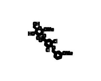 COc1cccc(COc2c(Cl)cc(C(=O)O[C@H]3[C@H](OC)O[C@H](CO)[C@@H](O)[C@@H]3O)cc2Cl)c1